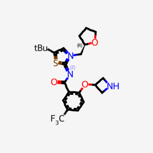 CC(C)(C)c1cn(C[C@H]2CCCO2)/c(=N/C(=O)c2cc(C(F)(F)F)ccc2OC2CNC2)s1